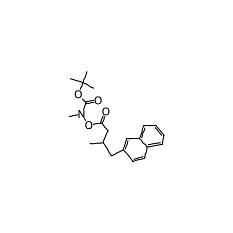 CC(CC(=O)ON(C)C(=O)OC(C)(C)C)Cc1ccc2ccccc2c1